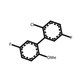 COc1ccc(F)cc1-c1cc(F)[c]cc1Cl